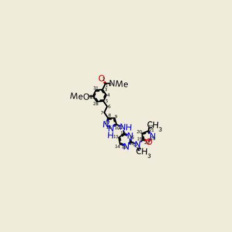 CNC(=O)c1cc(CCc2cc(Nc3ccnc(N(C)c4cc(C)no4)n3)[nH]n2)cc(OC)c1